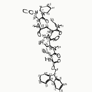 CC[C@H](C)[C@H](NC(=O)OCC1c2ccccc2-c2ccccc21)C(=O)N(C)[C@@H](CC(C)C)C(=O)N(C)[C@@H](CC(=O)N(C)[C@@H](CC(=O)O)C(=O)N1CCCCC1)C(=O)N(C)C